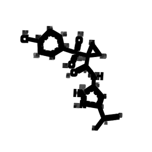 C=C(C)c1cc(NC(=O)C2(S(=O)(=O)c3ccc(Cl)cc3)CC2)[nH]n1